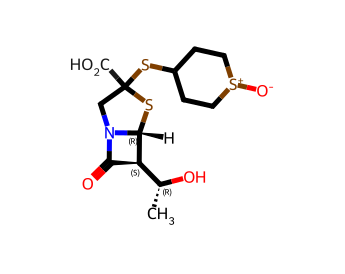 C[C@@H](O)[C@H]1C(=O)N2CC(SC3CC[S+]([O-])CC3)(C(=O)O)S[C@H]12